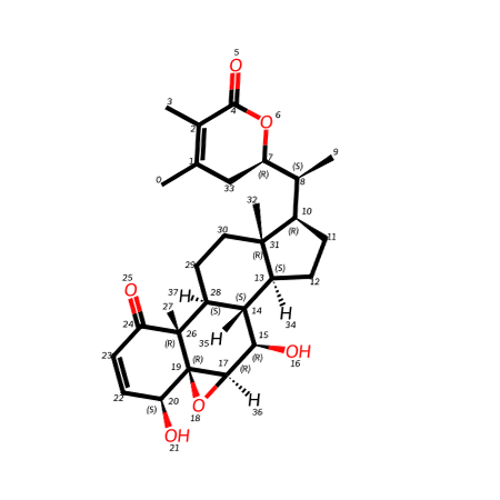 CC1=C(C)C(=O)O[C@@H]([C@@H](C)[C@H]2CC[C@H]3[C@@H]4[C@@H](O)[C@H]5O[C@]56[C@@H](O)C=CC(=O)[C@]6(C)[C@H]4CC[C@]23C)C1